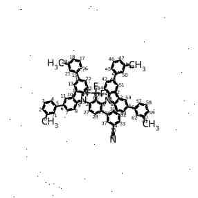 Cc1cccc(-c2ccc3c(c2)c2cc(-c4cccc(C)c4)ccc2n3-c2ccc(-c3cccc(C#N)c3)c(-n3c4ccc(-c5cccc(C)c5)cc4c4cc(-c5cccc(C)c5)ccc43)c2C(F)(F)F)c1